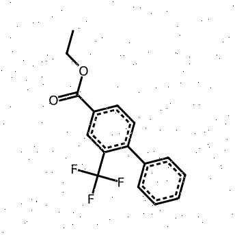 CCOC(=O)c1ccc(-c2ccccc2)c(C(F)(F)F)c1